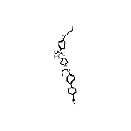 CCCCOc1ccc(S(=O)(=O)NN2CC[C@@H](C(CC)Oc3ccc(-c4ccc(C#N)cc4)cc3)C2)cc1